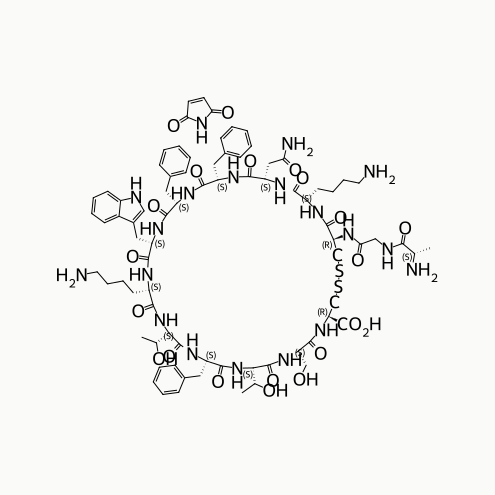 CC(O)[C@@H]1NC(=O)[C@H](Cc2ccccc2)NC(=O)[C@H](C(C)O)NC(=O)[C@H](CCCCN)NC(=O)[C@H](Cc2c[nH]c3ccccc23)NC(=O)[C@H](Cc2ccccc2)NC(=O)[C@H](Cc2ccccc2)NC(=O)[C@H](CC(N)=O)NC(=O)[C@H](CCCCN)NC(=O)[C@@H](NC(=O)CNC(=O)[C@H](C)N)CSSC[C@@H](C(=O)O)NC(=O)[C@H](CO)NC1=O.O=C1C=CC(=O)N1